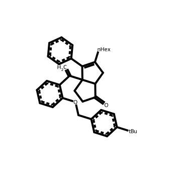 C=C(c1ccccc1OCc1ccc(C(C)(C)C)cc1)C12CCC(=O)C1CC(CCCCCC)=C2c1ccccc1